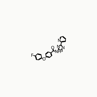 O=C(Nc1nc(-c2ccccn2)ns1)c1ccc(Oc2ccc(F)cc2)cc1